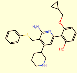 Nc1nc(-c2c(O)cccc2OCC2CC2)cc(C2CCCNC2)c1CSc1ccccc1